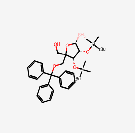 B[C@@H]1O[C@@](CO)(COC(c2ccccc2)(c2ccccc2)c2ccccc2)[C@@H](O[Si](C)(C)C(C)(C)C)[C@H]1O[Si](C)(C)C(C)(C)C